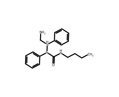 CCCCNC(=O)N(c1ccccc1)[SiH](CN)c1ccccc1